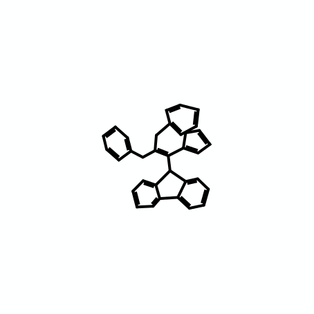 C1=CCC(C(=C(Cc2ccccc2)Cc2ccccc2)C2c3ccccc3-c3ccccc32)=C1